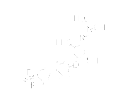 CCN(C)C=Nc1cc(C)c(Oc2ccc(-c3ccc(C(F)(F)F)cc3)cc2)cc1C